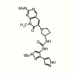 CNc1ncc2cc(N3CCC(NC(=O)Nc4cn(C(C)(C)C)nc4-c4cn[nH]c4)C3)c(=O)n(C)c2n1